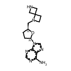 Nc1ncnc2c1ncn2[C@H]1CC[C@@H](CN2CCC23CNC3)O1